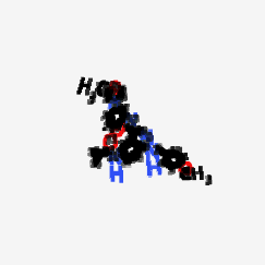 COc1ccc(CNc2ncc(-c3nc4cc(N5CCO[C@@H](C)C5)ccc4o3)c3cc(NC(=O)C4CC4)ccc23)cc1